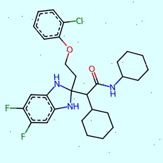 O=C(NC1CCCCC1)C(C1CCCCC1)C1(CCOc2ccccc2Cl)Nc2cc(F)c(F)cc2N1